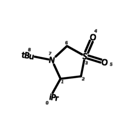 CC(C)C1CS(=O)(=O)CN1C(C)(C)C